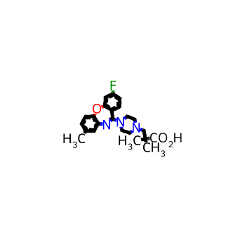 Cc1ccc2c(c1)N=C(N1CCN(CC(C)(C)C(=O)O)CC1)c1ccc(F)cc1O2